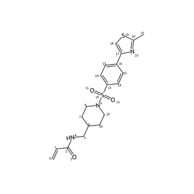 C=CC(=O)NCC1CCN(S(=O)(=O)c2ccc(-c3csc(C)n3)cc2)CC1